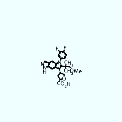 COCC(C)(C)c1c([C@H]2CO[C@H](C(=O)O)C2)c2cc3[nH]ncc3cc2n1-c1ccc(F)c(F)c1